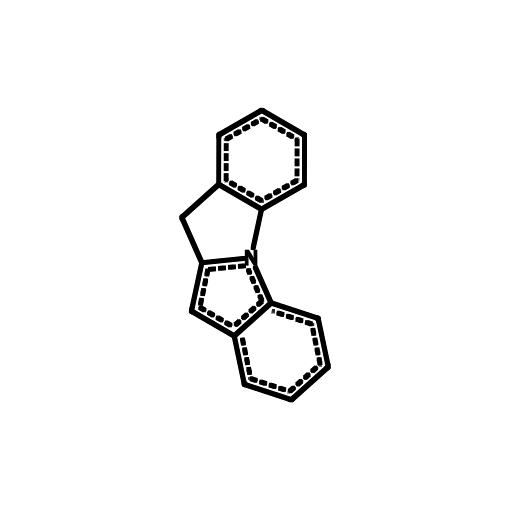 c1ccc2c(c1)Cc1cc3ccccc3n1-2